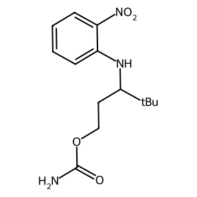 CC(C)(C)C(CCOC(N)=O)Nc1ccccc1[N+](=O)[O-]